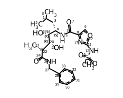 CC(C)C[C@H](NC(=O)c1coc(NS(C)(=O)=O)n1)[C@@H](O)[C@H](O)[C@@H](C)C(=O)NCc1ccccc1